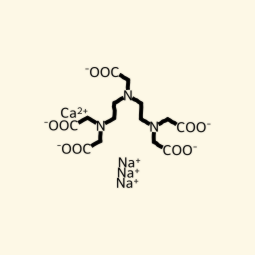 O=C([O-])CN(CCN(CC(=O)[O-])CC(=O)[O-])CCN(CC(=O)[O-])CC(=O)[O-].[Ca+2].[Na+].[Na+].[Na+]